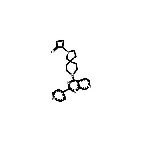 O=C1CCC1N1CCC2(CCN(c3nc(-c4ccncc4)nc4cnccc34)CC2)C1